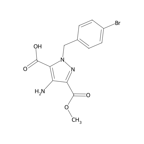 COC(=O)c1nn(Cc2ccc(Br)cc2)c(C(=O)O)c1N